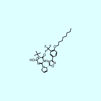 CCCCCCCCOc1ccc(-c2noc([C@@H]3C=CCN3/C(=N/C(=O)O)NC(=O)OC(C)(C)C)n2)cc1C(F)(F)F